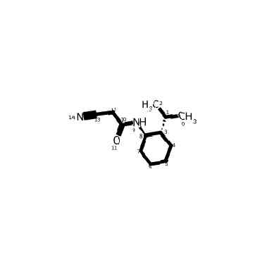 CC(C)[C@@H]1CCCC[C@H]1NC(=O)CC#N